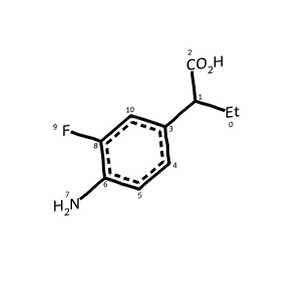 CCC(C(=O)O)c1ccc(N)c(F)c1